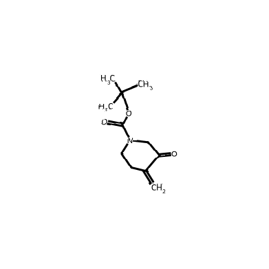 C=C1CCN(C(=O)OC(C)(C)C)CC1=O